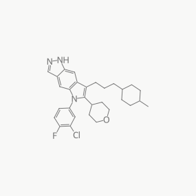 CC1CCC(CCCc2c(C3CCOCC3)n(-c3ccc(F)c(Cl)c3)c3cc4cn[nH]c4cc23)CC1